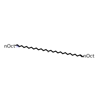 CCCCCCCCC=CCCCCCCCCCCCC[CH]CCCCCCCCCCC/C=C/CCCCCCCC